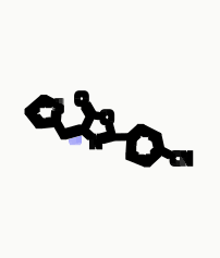 N#Cc1ccc(C2=N/C(=C/c3cccs3)C(=O)O2)cc1